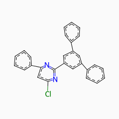 Clc1cc(-c2ccccc2)nc(-c2cc(-c3ccccc3)cc(-c3ccccc3)c2)n1